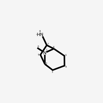 CN1C2CCCC1C([NH])C2